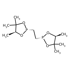 C[C@@H]1O[P@@](CC[P@]2O[C@@H](C)C(C)(C)O2)OC1(C)C